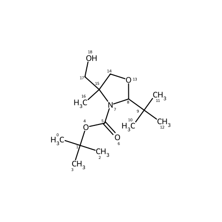 CC(C)(C)OC(=O)N1C(C(C)(C)C)OCC1(C)CO